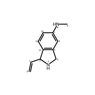 C=CC1NCc2cc(NC)ccc21